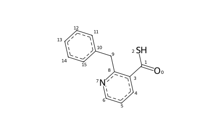 O=C(S)c1cccnc1Cc1ccccc1